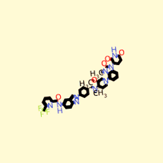 CO[C@H]1CN(c2cccc3c2n(C)c(=O)n3C2CCC(=O)NC2=O)CC[C@@H]1N(C)C[C@H]1CC[C@H](n2cc3cc(NC(=O)c4cccc(C(F)(F)F)n4)ccc3n2)CC1